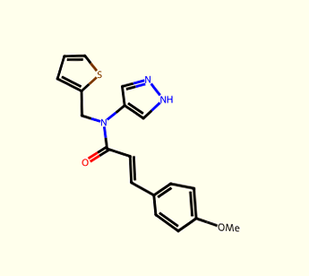 COc1ccc(C=CC(=O)N(Cc2cccs2)c2cn[nH]c2)cc1